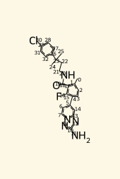 Cc1ccc(-c2ccn3nc(N)nc3c2)c(F)c1C(=O)NCCC(C)(C)c1ccc(Cl)cc1